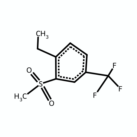 CCc1ccc(C(F)(F)F)cc1S(C)(=O)=O